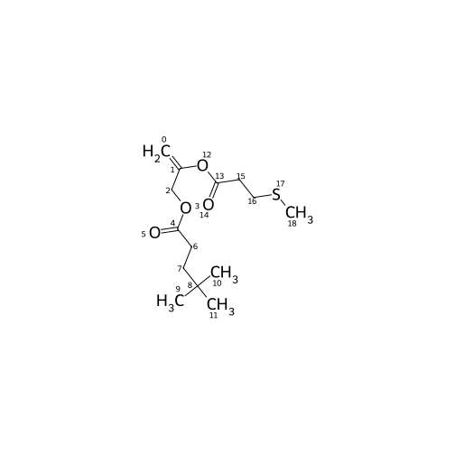 C=C(COC(=O)CCC(C)(C)C)OC(=O)CCSC